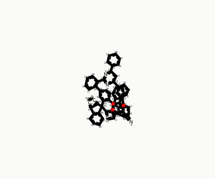 N#Cc1cccc(-c2cccc(-c3cc(-c4ccccc4)nc(-c4ccccc4-c4ccc5c(c4)C4(c6ccccc6-c6ccccc64)c4ccccc4C54c5ccccc5-c5ccccc54)n3)c2)c1